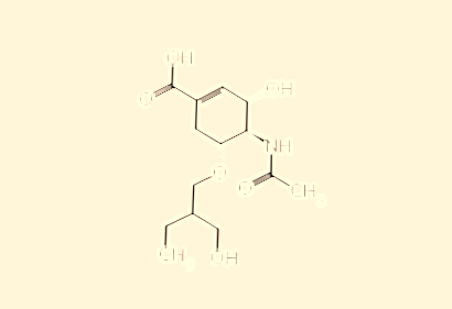 CCC(CO)CO[C@@H]1CC(C(=O)O)=C[C@H](O)[C@H]1NC(C)=O